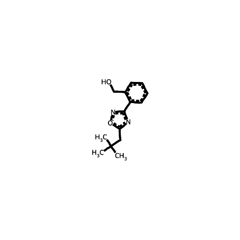 CC(C)(C)Cc1nc(-c2ccccc2CO)no1